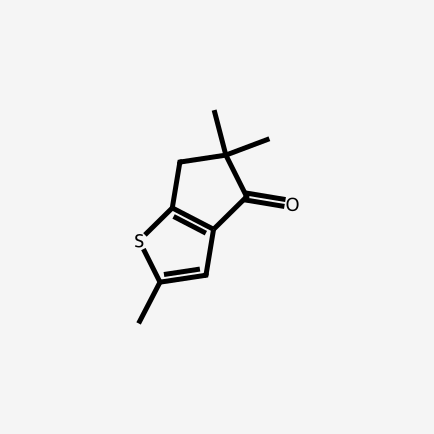 Cc1cc2c(s1)CC(C)(C)C2=O